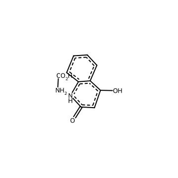 NC(=O)O.O=c1cc(O)c2ccccc2[nH]1